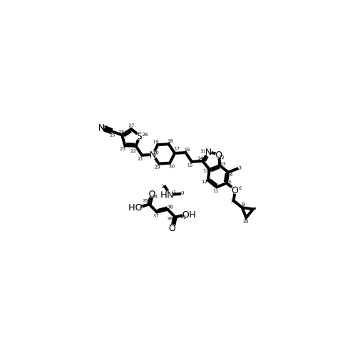 CNC.Cc1c(OCC2CC2)ccc2c(CCC3CCN(Cc4cc(C#N)cs4)CC3)noc12.O=C(O)C=CC(=O)O